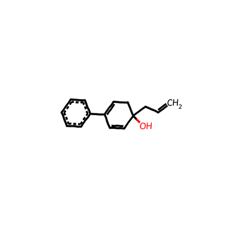 C=CCC1(O)C=CC(c2ccccc2)=CC1